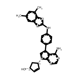 Cc1cc(C)c2oc(Nc3ccc(-c4cn([C@@H]5C=C[C@H](O)C5)c5ncnc(N)c45)cc3)nc2c1